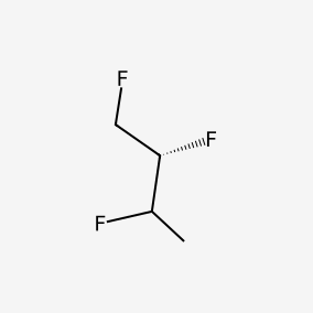 CC(F)[C@@H](F)CF